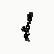 COS(=O)(=O)c1cc(N=Nc2ccc(S(=O)(=O)O)cc2)ccc1N=Nc1ccc(N)cc1C